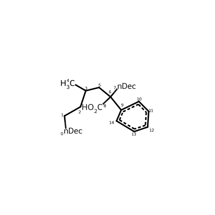 CCCCCCCCCCCCC(C)CC(CCCCCCCCCC)(C(=O)O)c1ccccc1